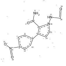 NC(=O)c1c(-c2ccc([N+](=O)[O-])cc2)ccn1NC=O